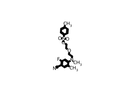 Cc1ccc(S(=O)(=O)OCCOCCN(C)c2cc(F)c(C#N)cc2C)cc1